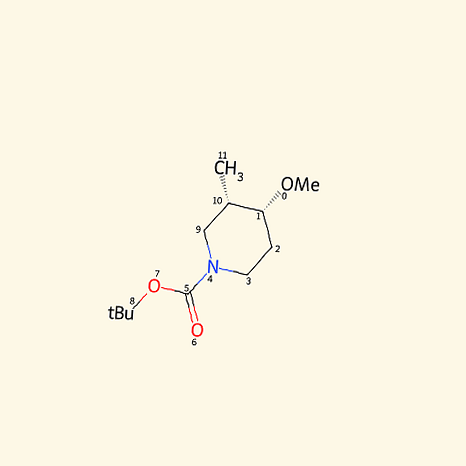 CO[C@@H]1CCN(C(=O)OC(C)(C)C)C[C@@H]1C